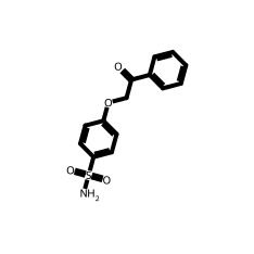 NS(=O)(=O)c1ccc(OCC(=O)c2ccccc2)cc1